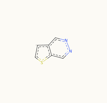 [c]1csc2cnncc12